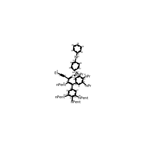 CCC#CC(=C=[N+]=[N-])C(CCCCC)=C(c1cc(CCC)c(CCC)c(CCC)c1)c1cc(CCCCC)c(CCCCC)c(CCCCC)c1.c1cc[c]([Ni][c]2ccccc2)cc1